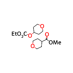 COC(=O)C1CCOCC1.[CH2]COC(=O)OC1CCOCC1